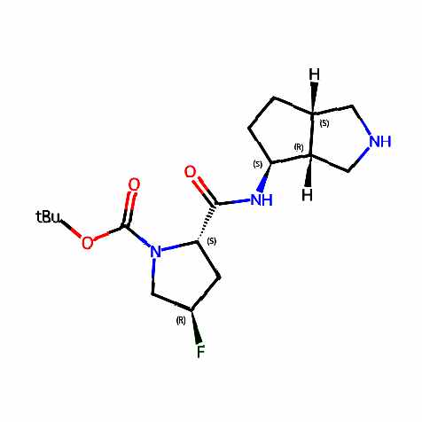 CC(C)(C)OC(=O)N1C[C@H](F)C[C@H]1C(=O)N[C@H]1CC[C@@H]2CNC[C@@H]21